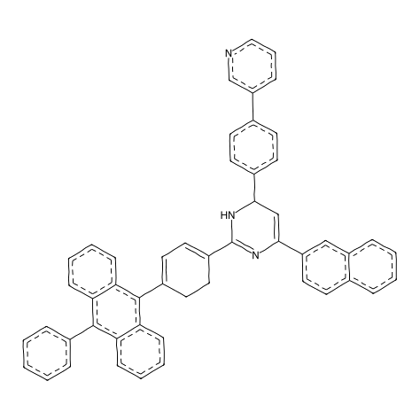 C1=C(C2=NC(c3ccc4ccccc4c3)=CC(c3ccc(-c4cccnc4)cc3)N2)CCC(c2c3ccccc3c(-c3ccccc3)c3ccccc23)=C1